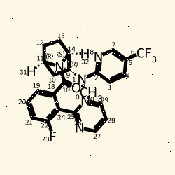 CN(c1ccc(C(F)(F)F)cn1)[C@@H]1C[C@H]2CC[C@@H]1N2C(=O)c1cccc(F)c1-c1ncccn1